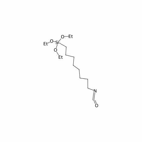 CCO[Si](CCCCCCCCN=C=O)(OCC)OCC